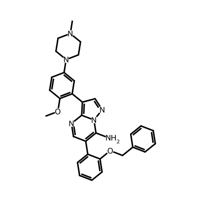 COc1ccc(N2CCN(C)CC2)cc1-c1cnn2c(N)c(-c3ccccc3OCc3ccccc3)cnc12